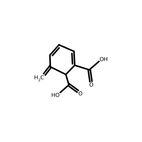 C=C1C=CC=C(C(=O)O)C1C(=O)O